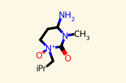 CC(C)C[N+]1([O-])CCC(N)N(C)C1=O